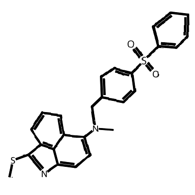 [CH2]SC1=Nc2ccc(N(C)Cc3ccc(S(=O)(=O)c4ccccc4)cc3)c3cccc1c23